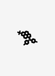 Cc1ccc(N(c2ccc(C)cc2)c2ccc3ccc4cc(C(C)(C)C)cc5ccc2c3c45)cc1